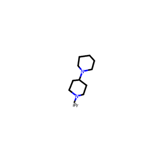 CC(C)N1CCC(N2CCCCC2)CC1